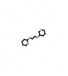 C1CCC(OCCOC2CCCOC2)OC1